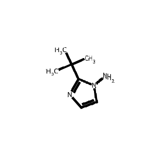 CC(C)(C)c1nccn1N